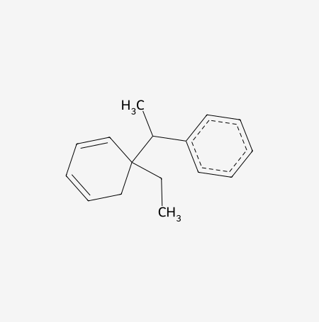 CCC1(C(C)c2ccccc2)C=CC=CC1